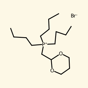 CCCC[P+](CCCC)(CCCC)CC1OCCCO1.[Br-]